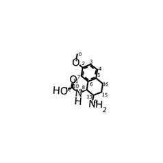 COc1ccc2c(c1)[C@H](NC(=O)O)C(N)CC2